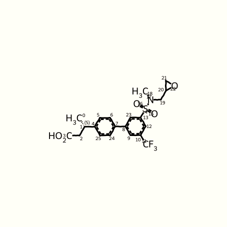 C[C@@H](CC(=O)O)c1ccc(-c2cc(C(F)(F)F)cc(S(=O)(=O)N(C)CC3CO3)c2)cc1